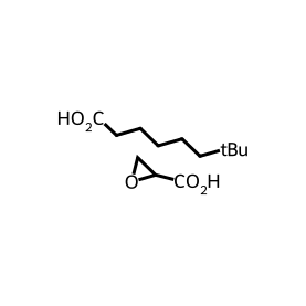 CC(C)(C)CCCCCC(=O)O.O=C(O)C1CO1